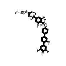 CCCCCCCC1COC(c2cc(F)c(C(F)(F)Oc3ccc(-c4ccc(-c5cc(F)c(F)c(F)c5)c(F)c4)cc3)c(F)c2)OC1